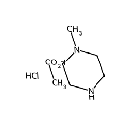 CC(=O)O.CN1CCNCC1.Cl